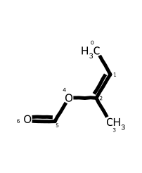 CC=C(C)OC=O